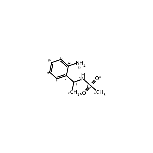 CC(NS(C)(=O)=O)c1ccccc1N